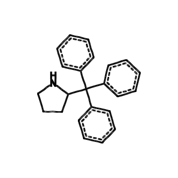 c1ccc(C(c2ccccc2)(c2ccccc2)C2CCCN2)cc1